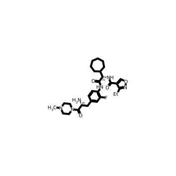 CCc1nocc1C(=O)N[C@H](C(=O)Nc1ccc(C[C@@H](N)C(=O)N2CCN(C)CC2)cc1F)C1CCCCCC1